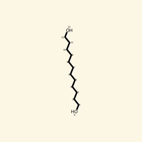 OCC[CH]CCCCCCCCCO